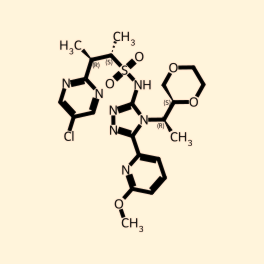 COc1cccc(-c2nnc(NS(=O)(=O)[C@@H](C)[C@H](C)c3ncc(Cl)cn3)n2[C@H](C)[C@H]2COCCO2)n1